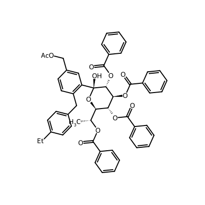 CCc1ccc(Cc2ccc(COC(C)=O)cc2[C@@]2(O)O[C@H]([C@@H](C)OC(=O)c3ccccc3)[C@@H](OC(=O)c3ccccc3)[C@H](OC(=O)c3ccccc3)[C@H]2OC(=O)c2ccccc2)cc1